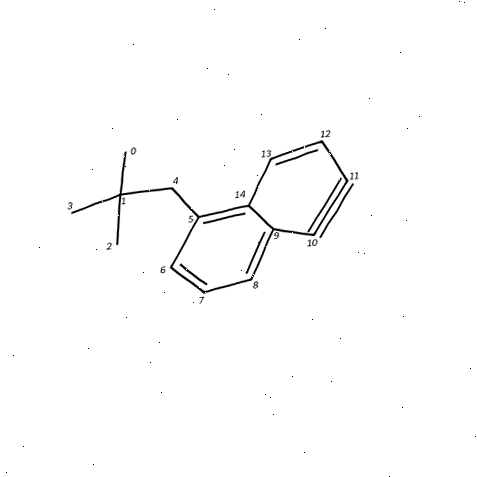 CC(C)(C)Cc1cccc2c#cccc12